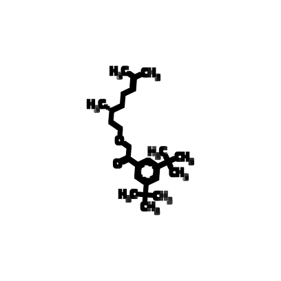 CC(C)=CCC[C@@H](C)CCOCC(=O)c1cc(C(C)(C)C)cc(C(C)(C)C)c1